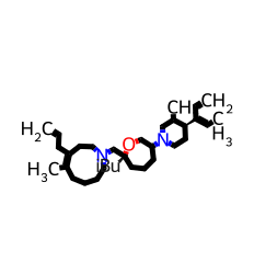 C=CC/C1=C(\C)CCCCN(C[C@@]2(C(C)CC)CCCC(N3CC[C@H](/C(C=C)=C/C)C(C)C3)CO2)CC1